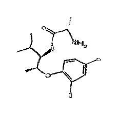 CC(C)[C@@H](OC(=O)[C@H](C)N)[C@H](C)Oc1ccc(Cl)cc1Cl